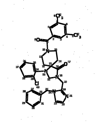 O=C(c1cc(C(F)(F)F)cc(C(F)(F)F)c1)N1CCC2(CC1)C(=O)N(Cc1nccn1Cc1ccccc1)CN2c1ccccc1Cl